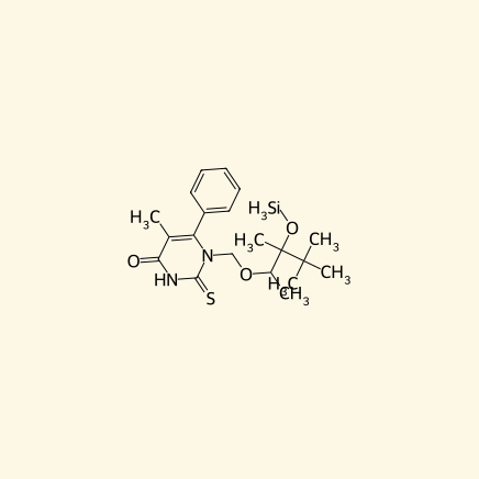 Cc1c(-c2ccccc2)n(COC(C)C(C)(O[SiH3])C(C)(C)C)c(=S)[nH]c1=O